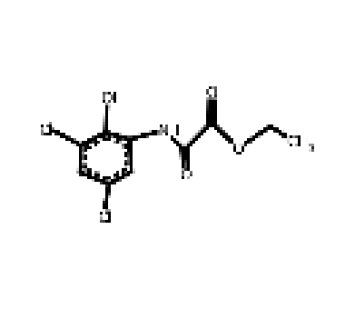 CCOC(=O)C(=O)Nc1cc(Cl)cc(Cl)c1O